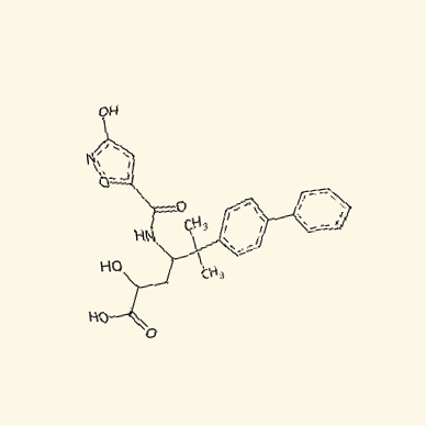 CC(C)(c1ccc(-c2ccccc2)cc1)C(CC(O)C(=O)O)NC(=O)c1cc(O)no1